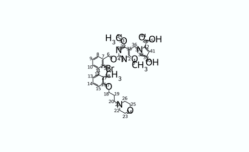 COc1nc(OCc2cccc(-c3cccc(OCCCN4CCOCC4)c3C)c2Br)nc(OC)c1Cn1cc(O)cc1C(=O)O